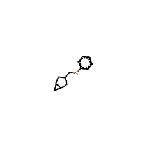 c1ccc(SCC2CC3CC3C2)cc1